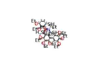 CCOc1ccc([SiH2]C(CC)N(C(CC)[SiH2]c2ccc(OCC)c(OCC)c2OCC)C(CC)[SiH2]c2ccc(OCC)c(OCC)c2OCC)c(OCC)c1OCC